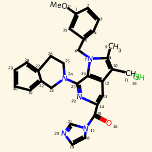 COc1cccc(Cn2c(C)c(C)c3cc(C(=O)n4ccnc4)nc(N4CCc5ccccc5C4)c32)c1.Cl